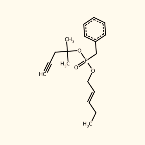 C#CCC(C)(C)OP(=O)(Cc1ccccc1)OCC=CCC